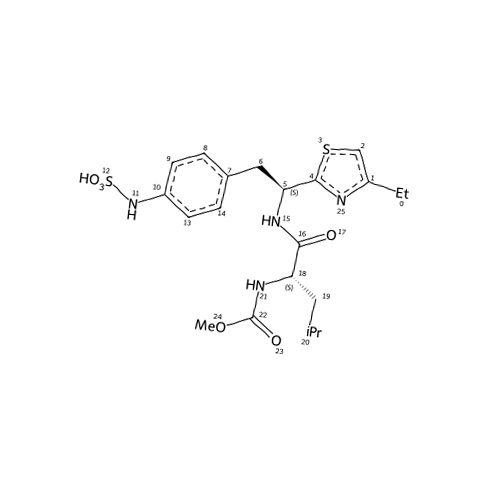 CCc1csc([C@H](Cc2ccc(NS(=O)(=O)O)cc2)NC(=O)[C@H](CC(C)C)NC(=O)OC)n1